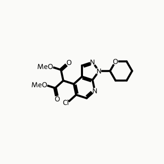 COC(=O)C(C(=O)OC)c1c(Cl)cnc2c1cnn2C1CCCCO1